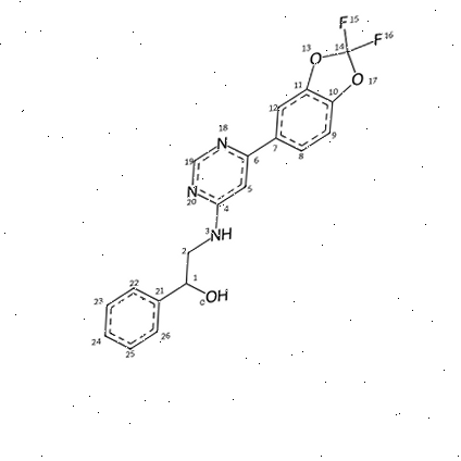 OC(CNc1cc(-c2ccc3c(c2)OC(F)(F)O3)ncn1)c1ccccc1